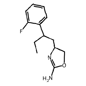 CCC(CC1COC(N)=N1)c1ccccc1F